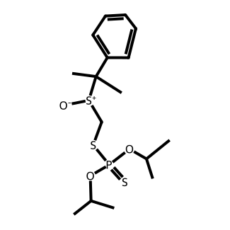 CC(C)OP(=S)(OC(C)C)SC[S+]([O-])C(C)(C)c1ccccc1